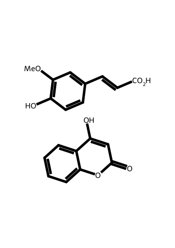 COc1cc(C=CC(=O)O)ccc1O.O=c1cc(O)c2ccccc2o1